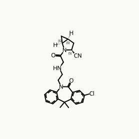 CC1(C)c2ccc(Cl)cc2C(=O)N(CCNCC(=O)N2[C@H](C#N)C[C@@H]3C[C@@H]32)c2ccccc21